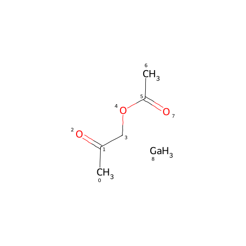 CC(=O)COC(C)=O.[GaH3]